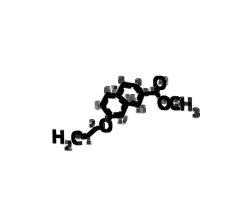 C=CCOc1ccc2ccc(C(=O)OC)cc2c1